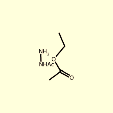 CC(=O)NN.CCOC(C)=O